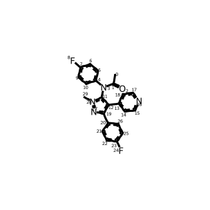 CC(=O)N(c1ccc(F)cc1)c1c(-c2ccncc2)c(-c2ccc(F)cc2)nn1C